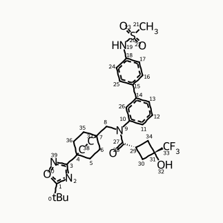 CC(C)(C)c1nc(C23CCC(CN(c4cccc(-c5ccc(NS(C)(=O)=O)cc5)c4)C(=O)[C@H]4C[C@](O)(C(F)(F)F)C4)(CC2)CC3)no1